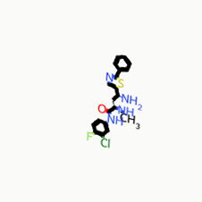 CN[C@@H](C[C@@H](N)c1cnc(-c2ccccc2)s1)C(=O)Nc1ccc(F)c(Cl)c1